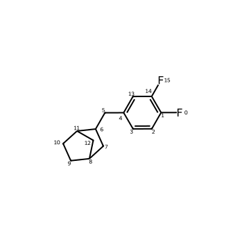 Fc1ccc(CC2CC3CCC2C3)cc1F